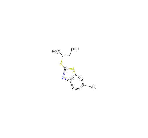 O=C(O)CC(Sc1nc2ccc([N+](=O)[O-])cc2s1)C(=O)O